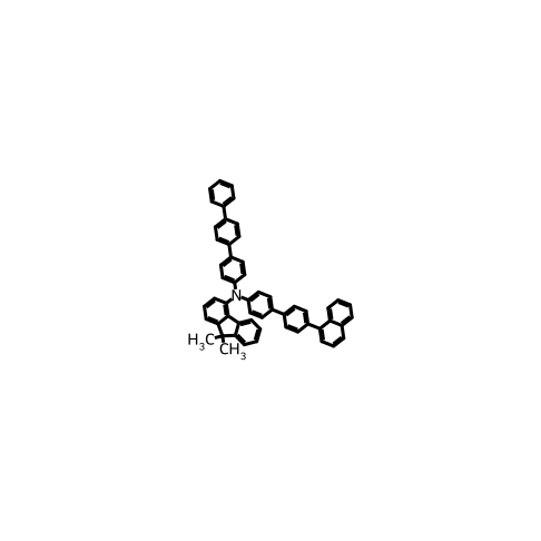 CC1(C)c2ccccc2-c2c(N(c3ccc(-c4ccc(-c5ccccc5)cc4)cc3)c3ccc(-c4ccc(-c5cccc6ccccc56)cc4)cc3)cccc21